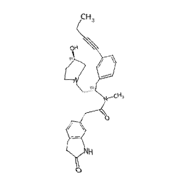 CCC#Cc1cccc([C@@H](CN2CC[C@@H](O)C2)N(C)C(=O)Cc2ccc3c(c2)NC(=O)C3)c1